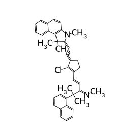 C/N=C(\C=C\C1=C(Cl)C(=C/C=C2/N(C)c3ccc4ccccc4c3C2(C)C)/CC1)C(C)(C)c1cccc2ccccc12